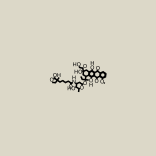 CCC(C)(CCCCC(=O)NC1CC(OC(C)(CC)C2CC(O)(C(=O)CO)Cc3c(O)c4c(c(O)c32)C(=O)c2c(OC)cccc2C4=O)OC(C)C1O)C(=O)O